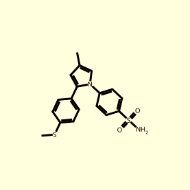 CSc1ccc(-c2cc(C)cn2-c2ccc(S(N)(=O)=O)cc2)cc1